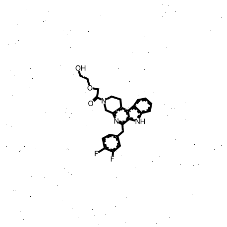 O=C(COCCO)N1CCc2c(nc(Cc3ccc(F)c(F)c3)c3[nH]c4ccccc4c23)C1